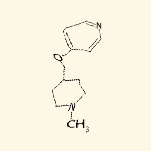 CN1CCC(Oc2ccncc2)CC1